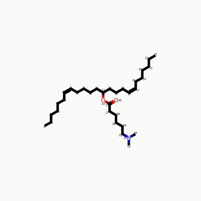 CCCCCC/C=C\CCC[CH]C(CCC/C=C\CCCCCC)OC(=O)CCCCCN(C)C